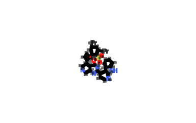 CC(C)c1cc(C(C)C)c(S(=O)(=O)Oc2nc(-c3ccnc4[nH]c5ccccc5c34)nc3cncc(C4=CC=C4)c23)c(C(C)C)c1